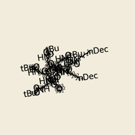 CCCCCCCCCCCCCCCCNC(=O)NCCSC[C@H](NC(=O)CCCCCCCCCCCCCCC)C(=O)N[C@H](COC(C)(C)C)C(=O)N[C@@H](CCCCNC(=O)OC(C)(C)C)C(=O)N[C@@H](CCCCNC(=O)OC(C)(C)C)C(=O)N[C@@H](CCCCNC(=O)OC(C)(C)C)C(=O)N[C@@H](CCCCNC(=O)OC(C)(C)C)C(=O)OCc1ccccc1